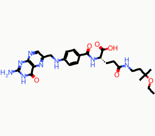 CCOC(C)(C)CCNC(=O)CC[C@H](NC(=O)c1ccc(NCc2cnc3nc(N)[nH]c(=O)c3n2)cc1)C(=O)O